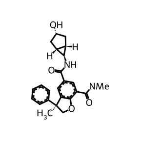 CNC(=O)c1cc(C(=O)N[C@H]2[C@@H]3C[C@H](O)C[C@@H]32)cc2c1OC[C@@]2(C)c1ccccc1